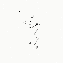 FC(F)CCOC(F)(F)C(F)F